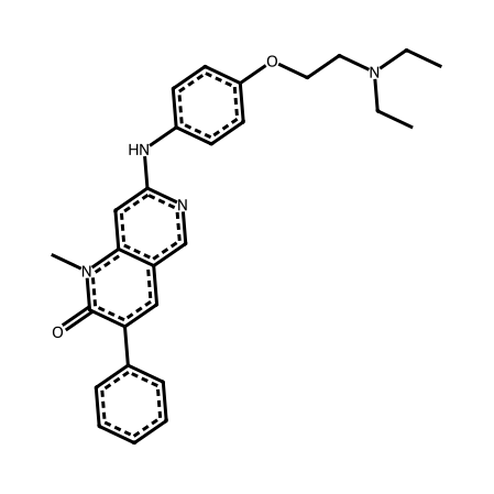 CCN(CC)CCOc1ccc(Nc2cc3c(cn2)cc(-c2ccccc2)c(=O)n3C)cc1